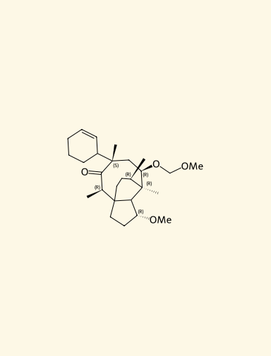 COCO[C@@H]1C[C@@](C)(C2C=CCCC2)C(=O)[C@H](C)C23CC[C@@H](C)[C@]1(C)C2[C@H](OC)CC3